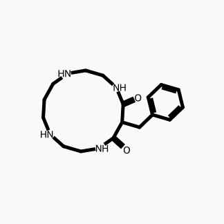 O=C1NCCNCCCNCCNC(=O)C1Cc1ccccc1